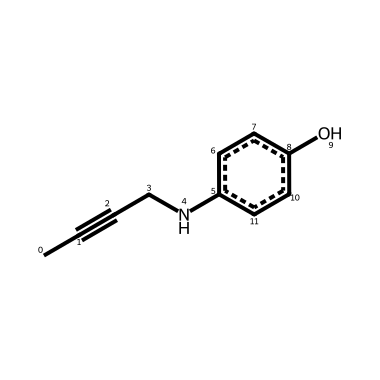 CC#CCNc1ccc(O)cc1